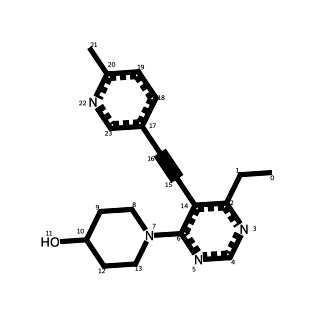 CCc1ncnc(N2CCC(O)CC2)c1C#Cc1ccc(C)nc1